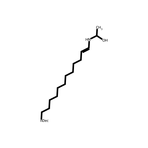 CCCCCCCCCCCCCCCCCCCCC=CNC(C)O